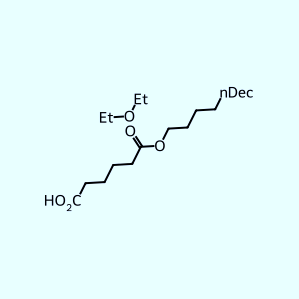 CCCCCCCCCCCCCCOC(=O)CCCCC(=O)O.CCOCC